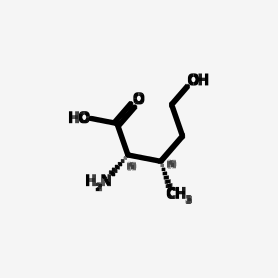 C[C@@H](CCO)[C@H](N)C(=O)O